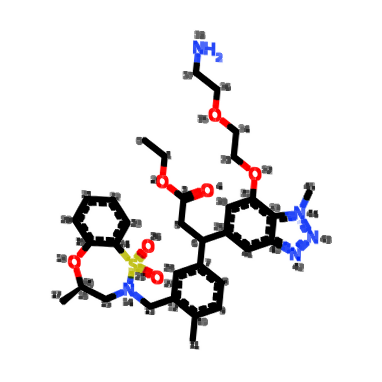 CCOC(=O)CC(c1ccc(C)c(CN2C[C@@H](C)Oc3ccccc3S2(=O)=O)c1)c1cc(OCCOCCN)c2c(c1)nnn2C